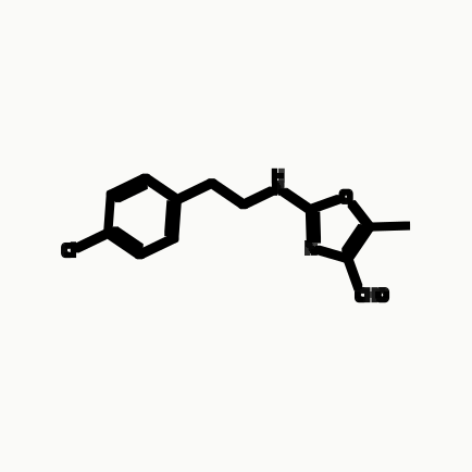 Cc1oc(NCCc2ccc(Cl)cc2)nc1C=O